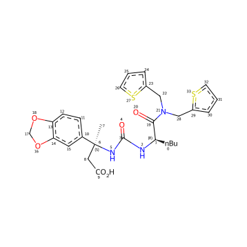 CCCC[C@@H](NC(=O)N[C@@](C)(CC(=O)O)c1ccc2c(c1)OCO2)C(=O)N(Cc1cccs1)Cc1cccs1